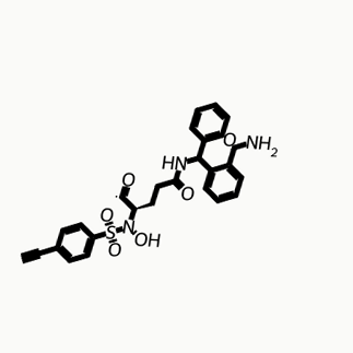 C#Cc1ccc(S(=O)(=O)N(O)[C@@H]([C]=O)CCC(=O)NC(c2ccccc2)c2ccccc2C(N)=O)cc1